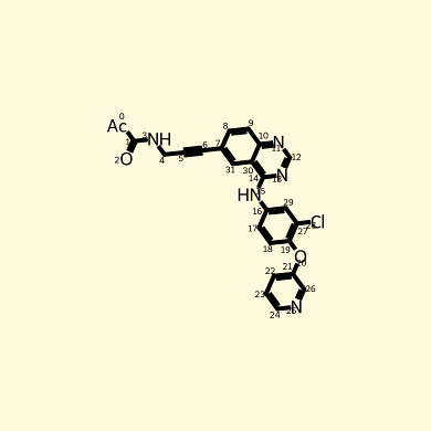 CC(=O)C(=O)NCC#Cc1ccc2ncnc(Nc3ccc(Oc4cccnc4)c(Cl)c3)c2c1